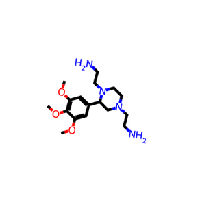 COc1cc(C2CN(CCN)CCN2CCN)cc(OC)c1OC